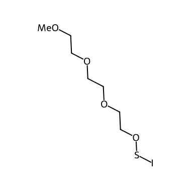 COCCOCCOCCOSI